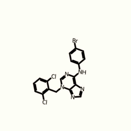 Clc1cccc(Cl)c1Cn1cnc(Nc2ccc(Br)cc2)c2ncnc1-2